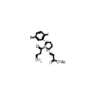 C=CCC(=O)N1[C@@H](/C=C/C(=O)OC)CC[C@H]1c1cc(F)ccc1F